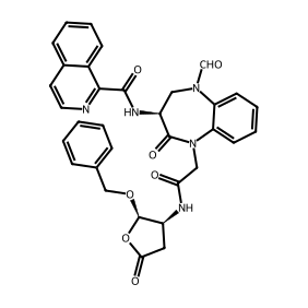 O=CN1C[C@H](NC(=O)c2nccc3ccccc23)C(=O)N(CC(=O)N[C@H]2CC(=O)O[C@H]2OCc2ccccc2)c2ccccc21